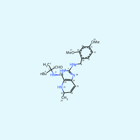 CCCCC(C)(C=O)N[C@H]1NC(NCc2ccc(OC)cc2OC)=NC2=C1NC(C)C=C2